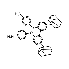 Nc1ccc(Oc2ccc(C34CC5CC(CC(C5)C3)C4)cc2-c2cc(C34CC5CC(CC(C5)C3)C4)ccc2Oc2ccc(N)cc2)cc1